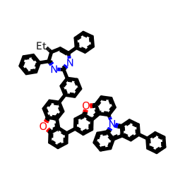 CCC1C=C(c2ccccc2)N=C(c2cccc(-c3ccc4oc5cccc(-c6ccc7c(c6)oc6cccc(-n8c9ccccc9c9cc(-c%10ccccc%10)ccc98)c67)c5c4c3)c2)N=C1c1ccccc1